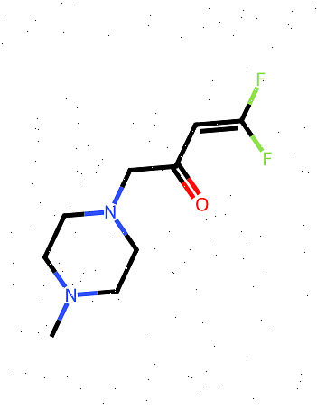 CN1CCN(CC(=O)C=C(F)F)CC1